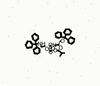 CC(C)C(=O)O[C@H](COC(c1ccccc1)(c1ccccc1)c1ccccc1)COP(=O)(O)OCCNC(c1ccccc1)(c1ccccc1)c1ccccc1